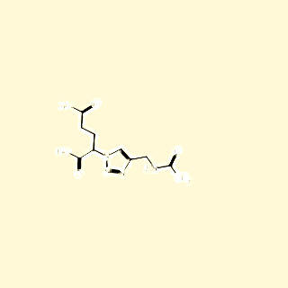 CC(=O)NCc1cn(C(CCC(=O)O)C(=O)O)nn1